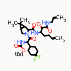 C=CCCC(NC(=O)C1C2C(CN1C(=O)C(NC(=O)OC(C)(C)C)C1CCC(F)(F)CC1)C2(C)C)C(=O)C(=O)NCC=C